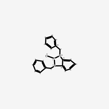 ClP1N(Cc2ccccc2)c2ccccc2N1Cc1ccccc1